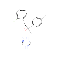 Cc1ccc(C2(Cn3cncn3)OC2c2ccccc2F)cc1